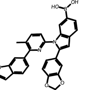 Cc1ccc(-n2c(-c3ccc4c(c3)OCO4)cc3ccc(B(O)O)cc32)nc1-c1ccc2cc[nH]c2c1